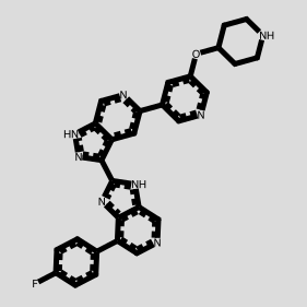 Fc1ccc(-c2cncc3[nH]c(-c4n[nH]c5cnc(-c6cncc(OC7CCNCC7)c6)cc45)nc23)cc1